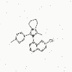 Cc1ccc(-c2c3c(c(C)n2-c2cccc4ccc(O)cc24)CCCC3)cc1